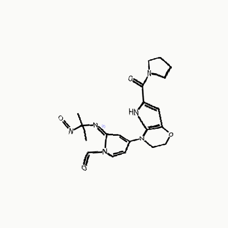 CC(C)(N=O)/N=c1/cc(N2CCOc3cc(C(=O)N4CCCC4)[nH]c32)ccn1C=O